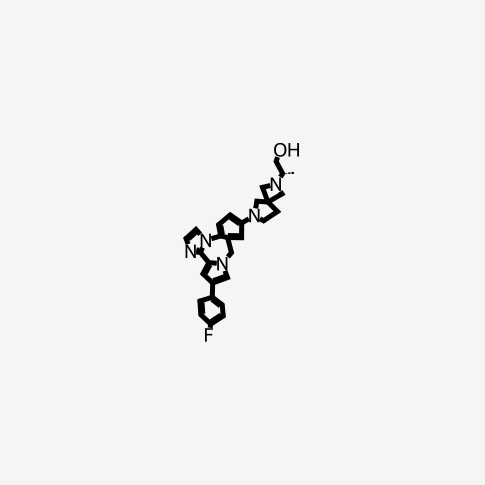 C[C@@H](CO)N1CC2(CCN(c3ccc4c(c3)Cn3cc(-c5ccc(F)cc5)cc3-c3nccn3-4)C2)C1